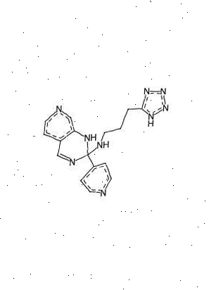 C1=NC(NCCCc2nnn[nH]2)(c2ccncc2)Nc2cnccc21